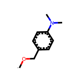 [CH2]OCc1ccc(N(C)C)cc1